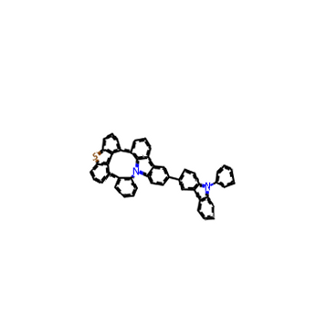 c1ccc(-n2c3ccccc3c3cc(-c4ccc5c(c4)c4cccc6c7cccc8sc9cccc(c%10ccccc%10n5c64)c9c87)ccc32)cc1